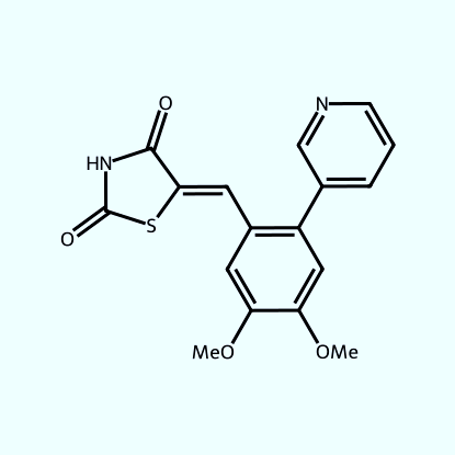 COc1cc(/C=C2\SC(=O)NC2=O)c(-c2cccnc2)cc1OC